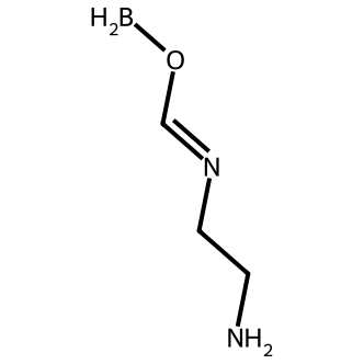 BOC=NCCN